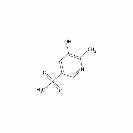 Cc1ncc(S(C)(=O)=O)cc1O